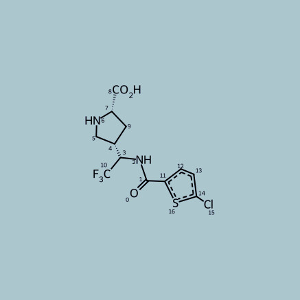 O=C(NC([C@@H]1CN[C@H](C(=O)O)C1)C(F)(F)F)c1ccc(Cl)s1